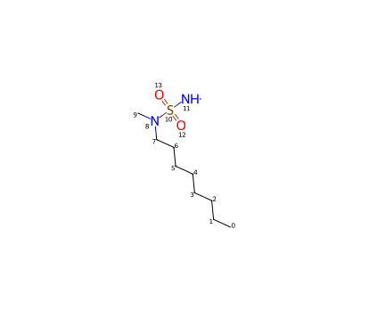 CCCCCCCCN(C)S([NH])(=O)=O